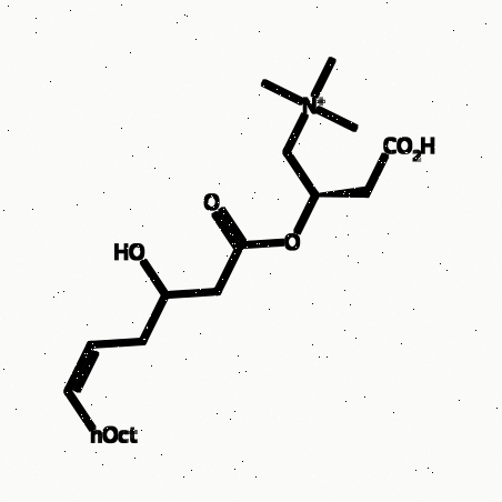 CCCCCCCC/C=C\CC(O)CC(=O)O[C@H](CC(=O)O)C[N+](C)(C)C